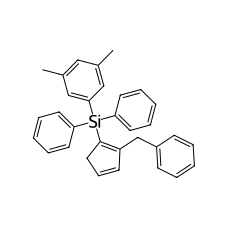 Cc1cc(C)cc([Si](C2=C(Cc3ccccc3)C=CC2)(c2ccccc2)c2ccccc2)c1